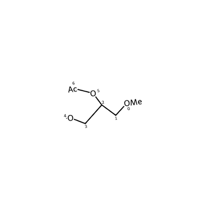 COCC(C[O])OC(C)=O